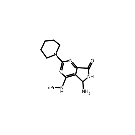 CCCNc1nc(N2CCCCC2)nc2c1C(N)NC2=O